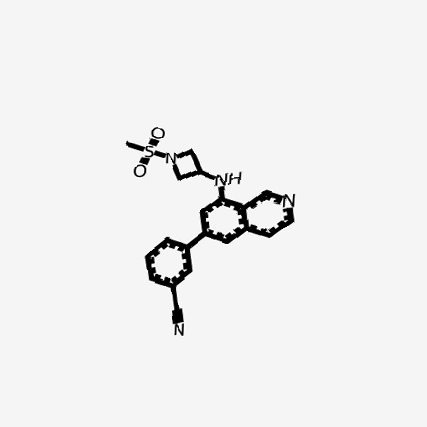 CS(=O)(=O)N1CC(Nc2cc(-c3cccc(C#N)c3)cc3ccncc23)C1